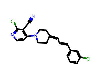 N#Cc1c(N2CCC(=CC=Cc3cccc(Cl)c3)CC2)ccnc1Cl